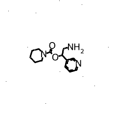 NCC(OC(=O)N1CCCCC1)c1cccnc1